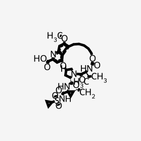 C=C[C@@H]1C[C@]1(NC(=O)[C@@H]1C[C@@H]2CN1C(=O)[C@H](C(C)C)NC(=O)OCCCCCc1cc3c(cc(C(=O)O)nc3cc1OC)O2)C(=O)NS(=O)(=O)C1CC1